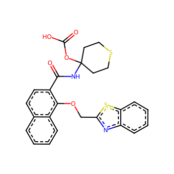 O=C(O)OC1(NC(=O)c2ccc3ccccc3c2OCc2nc3ccccc3s2)CCSCC1